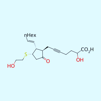 CCCCCCC=C[C@H]1[C@@H](SCCO)CC(=O)[C@@H]1CC#CCCC(O)C(=O)O